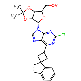 CC1(C)OC2C(O1)[C@@H](CO)O[C@H]2n1cnc2c(C3CC4(CCc5ccccc54)C3)nc(Cl)nc21